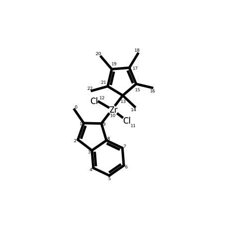 CC1=Cc2ccccc2[CH]1[Zr]([Cl])([Cl])[C]1(C)C(C)=C(C)C(C)=C1C